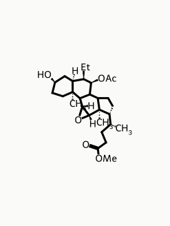 CC[C@H]1[C@@H](OC(C)=O)C2C3CC[C@H]([C@H](C)CCC(=O)OC)[C@@]3(C)[C@@H]3O[C@@H]3C2[C@@]2(C)CC[C@@H](O)C[C@@H]12